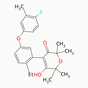 CCc1ccc(Oc2ccc(F)c(C)c2)cc1C1=C(O)C(C)(C)OC(C)(C)C1=O